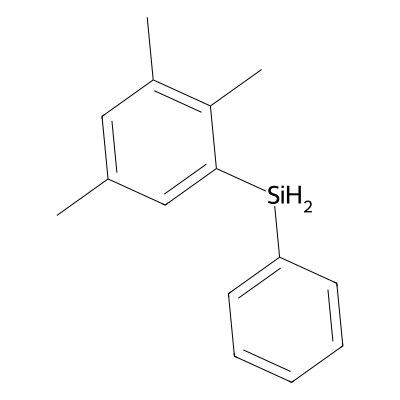 Cc1cc(C)c(C)c([SiH2]c2ccccc2)c1